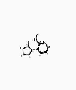 COc1ncccc1[C@@H]1CCCN1